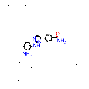 NC(=O)c1ccc(-c2ccnc(Nc3cccc(N)c3)n2)cc1